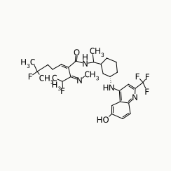 C/N=C(\C(=C/CCC(C)(C)F)C(=O)NC(C)C1CCC[C@H](Nc2cc(C(F)(F)F)nc3ccc(O)cc23)C1)C(C)F